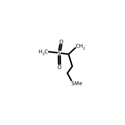 [CH2]C(CCSC)S(C)(=O)=O